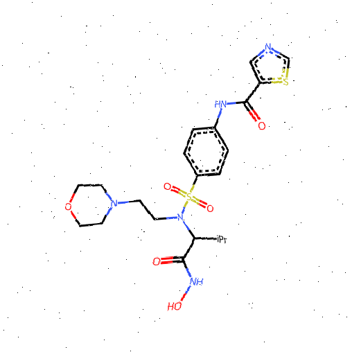 CC(C)C(C(=O)NO)N(CCN1CCOCC1)S(=O)(=O)c1ccc(NC(=O)c2cncs2)cc1